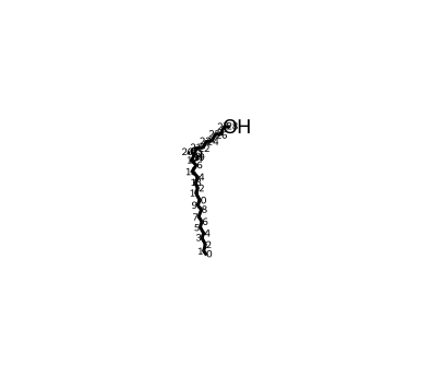 CCCCCCCCCCCCCCCCCC[Si](C)(C)CCCCCCCO